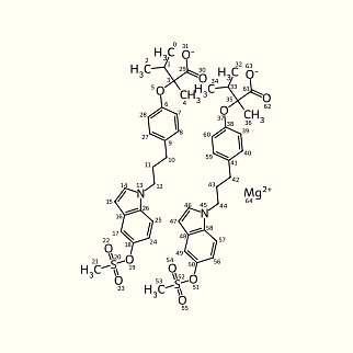 CC(C)C(C)(Oc1ccc(CCCn2ccc3cc(OS(C)(=O)=O)ccc32)cc1)C(=O)[O-].CC(C)C(C)(Oc1ccc(CCCn2ccc3cc(OS(C)(=O)=O)ccc32)cc1)C(=O)[O-].[Mg+2]